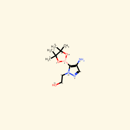 CC1(C)OB(c2c(N)cnn2CCO)OC1(C)C